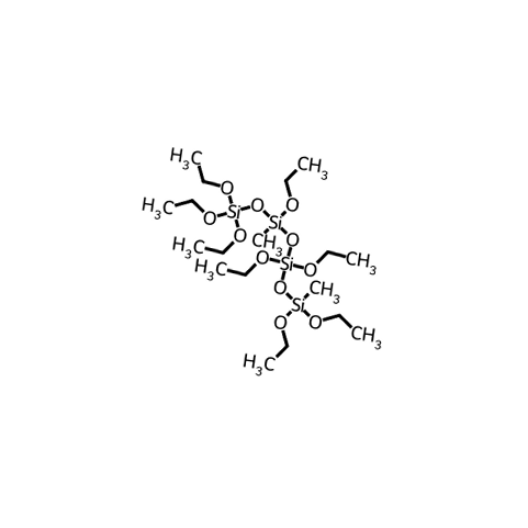 CCO[Si](C)(OCC)O[Si](OCC)(OCC)O[Si](C)(OCC)O[Si](OCC)(OCC)OCC